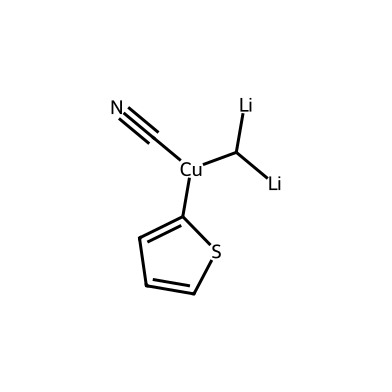 [Li][CH]([Li])[Cu]([C]#N)[c]1cccs1